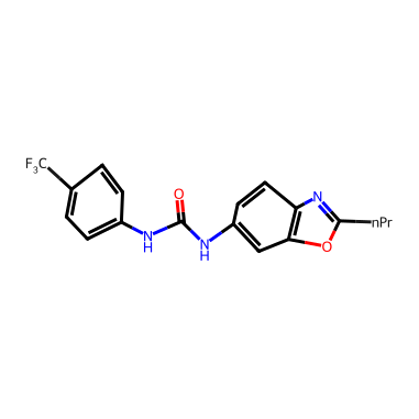 CCCc1nc2ccc(NC(=O)Nc3ccc(C(F)(F)F)cc3)cc2o1